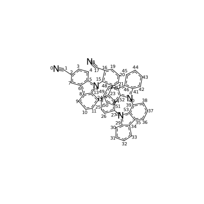 N#Cc1ccc2c(c1)c1ccccc1n2-c1c(C#N)cccc1-c1cccc(-n2c3ccccc3c3cccc(-n4c5ccccc5c5ccccc54)c32)c1